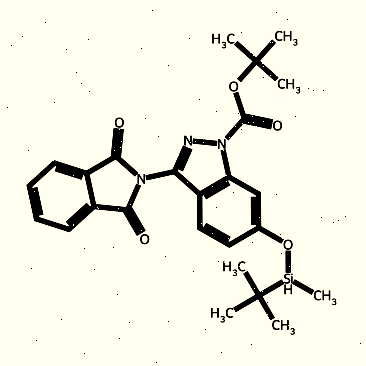 C[SiH](Oc1ccc2c(N3C(=O)c4ccccc4C3=O)nn(C(=O)OC(C)(C)C)c2c1)C(C)(C)C